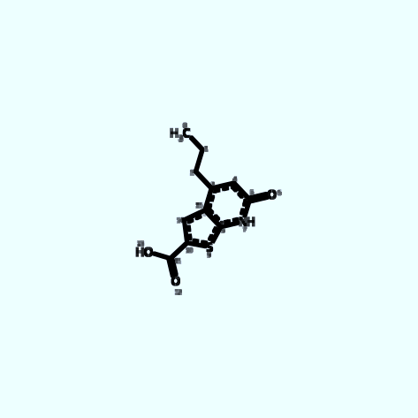 CCCc1cc(=O)[nH]c2sc(C(=O)O)cc12